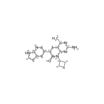 Cc1nc(N)nc2c1cc(-c1cnc3[nH]ccc3c1)c(=O)n2C1CCC1